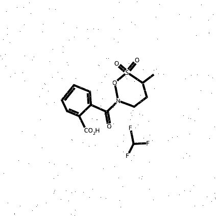 CC1CCN(C(=O)c2ccccc2C(=O)O)OS1(=O)=O.FC(F)F